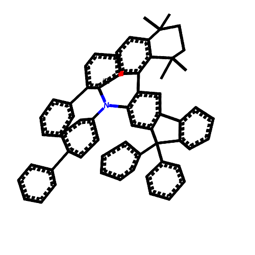 CC(C)c1ccc2c(c1-c1cc3c(cc1N(c1ccc(-c4ccccc4)cc1)c1ccccc1-c1ccccc1)C(c1ccccc1)(c1ccccc1)c1ccccc1-3)C(C)(C)CCC2(C)C